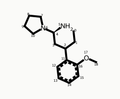 CCC(C[C@H](N)N1CCCC1)c1ccccc1OC